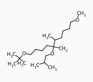 [CH2]C(CCCCOC(C)(C)C)(OCC(C)C)C(C)CCCCOC